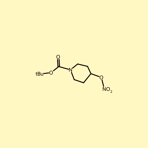 CC(C)(C)OC(=O)N1CCC(O[N+](=O)[O-])CC1